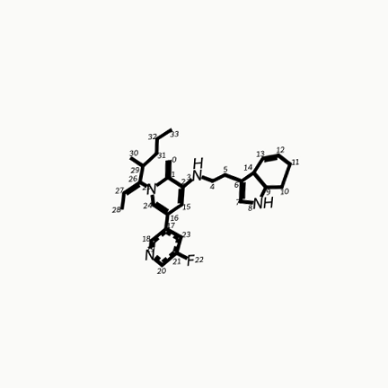 C=C1C(NCCC2=CNC3CCC=CC23)=CC(c2cncc(F)c2)=CN1/C(=C\C)C(C)CCC